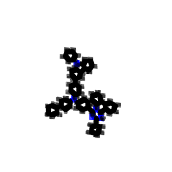 c1ccc(-c2ccc(N(c3ccc(-c4ccc5c(c4)c4ccccc4n5-c4ccccc4)cc3)c3ccc(-c4nc(-c5ccccc5)nc(-c5ccccc5-c5ccccc5)n4)cc3)cc2)cc1